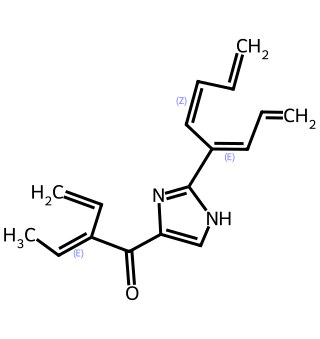 C=C/C=C\C(=C/C=C)c1nc(C(=O)/C(C=C)=C/C)c[nH]1